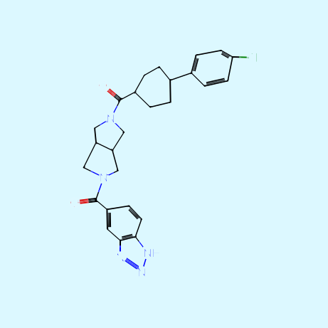 O=C(c1ccc2[nH]nnc2c1)N1CC2CN(C(=O)C3CCC(c4ccc(Cl)cc4)CC3)CC2C1